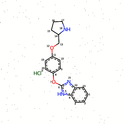 Cl.c1ccc2[nH]c(Oc3ccc(OCC4CCCN4)cc3)nc2c1